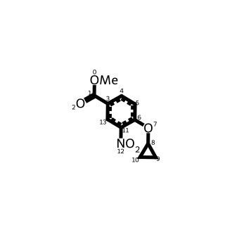 COC(=O)c1ccc(OC2CC2)c([N+](=O)[O-])c1